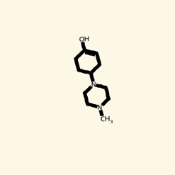 CN1CCN(C2CC=C(O)CC2)CC1